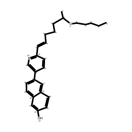 CCCCCOC(C)CCCC=Cc1ccc(-c2ccc3cc(O)ccc3c2)cn1